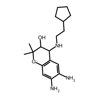 CC1(C)Oc2cc(N)c(N)cc2C(NCCC2CCCC2)C1O